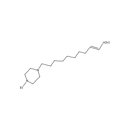 CCCCCCCC/C=C/CCCCCCCCN1CCN(CC)CC1